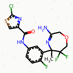 CC1(c2cc(NC(=O)c3csc(Cl)n3)ccc2F)N=C(N)COCC1(F)F